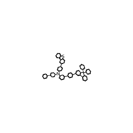 c1ccc(-c2ccc(N(c3ccc(-c4ccc5sc6ccccc6c5c4)cc3)c3cccc(-c4ccc(-c5ccc6c(c5)-c5ccccc5C6(c5ccccc5)c5ccccc5)cc4)c3)cc2)cc1